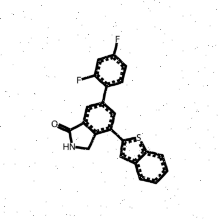 O=C1NCc2c1cc(-c1ccc(F)cc1F)cc2-c1cc2ccccc2s1